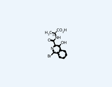 C[C@H](NC(=O)c1nc(Br)c2ccccc2c1O)C(=O)O